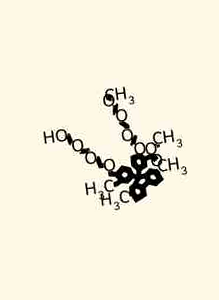 CCOC(=O)c1cc(C2(c3ccc(COCCOCCOCCO)c(CC)c3)c3cc(C)ccc3-c3ccc(C)cc32)ccc1OCCOCCOCCOC